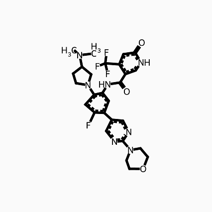 CN(C)C1CCN(c2cc(F)c(-c3cnc(N4CCOCC4)nc3)cc2NC(=O)c2c[nH]c(=O)cc2C(F)(F)F)C1